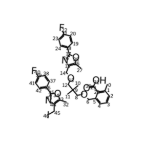 Cc1cccc(COCC(C)(C)COCc2nc(-c3ccc(F)cc3)oc2C)c1C(=O)O.Cc1oc(-c2ccc(F)cc2)nc1CI